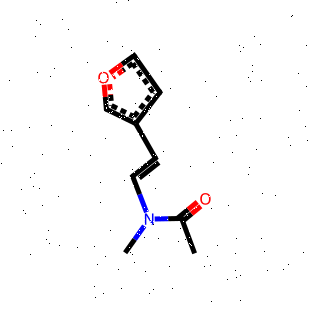 CC(=O)N(C)/C=C/c1ccoc1